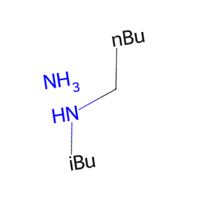 CCCCCNC(C)CC.N